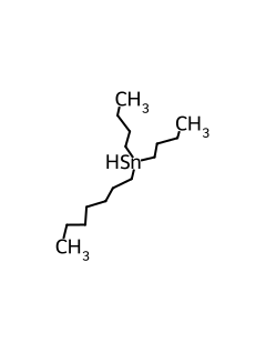 CCCCCC[CH2][SnH]([CH2]CCC)[CH2]CCC